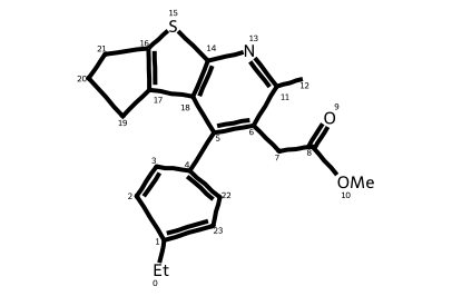 CCc1ccc(-c2c(CC(=O)OC)c(C)nc3sc4c(c23)CCC4)cc1